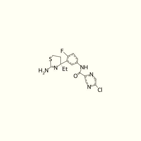 CC[C@@]1(c2cc(NC(=O)c3cnc(Cl)cn3)ccc2F)CCSC(N)=N1